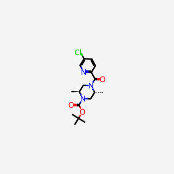 C[C@@H]1CN(C(=O)OC(C)(C)C)[C@@H](C)CN1C(=O)c1ccc(Cl)cn1